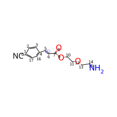 N#Cc1ccc(/C=C/C(=O)OCCOCCN)cc1